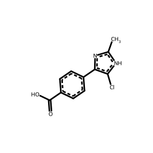 Cc1nc(-c2ccc(C(=O)O)cc2)c(Cl)[nH]1